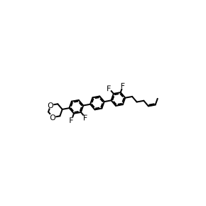 C/C=C\CCCc1ccc(-c2ccc(-c3ccc(C4COCOC4)c(F)c3F)cc2)c(F)c1F